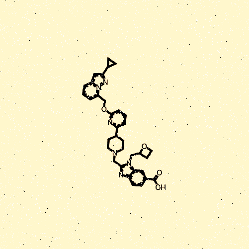 O=C(O)c1ccc2nc(CN3CCC(c4cccc(OCc5cccc6cc(C7CC7)nn56)n4)CC3)n(CC3CCO3)c2c1